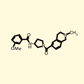 COc1cccc(C(=O)N[C@@H]2CCN(C(=O)c3ccc4c(c3)CCN(C)C4)C2)c1